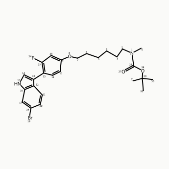 CN(CCCCCCOc1ccc(-c2c[nH]c3cc(Br)ccc23)c(F)c1)C(=O)OC(C)(C)C